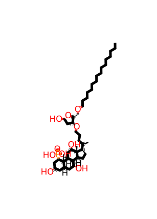 CCCCCCCCCCCCCCCCOC[C@H]1OC(O)C[C@@H]1OCCC[C@@H](C)[C@H]1CC[C@H]2[C@@H]3[C@H](O)C[C@@H]4C[C@H](O)CC(P(=O)(O)O)[C@]4(C)[C@H]3C[C@H](O)[C@]12C